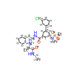 CCCN(c1cc(C(=O)N[C@H](CN[C@@H](CC)C(=O)NCC(C)C)Cc2ccccc2)cc(-c2cccc(Cl)c2)c1)S(=O)(=O)CC